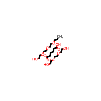 CCCOCCOCCOCCO.O=C(O)CCCCC(=O)O.OCCOCCOCCO